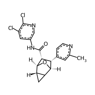 Cc1cc([C@H]2[C@@H](C(=O)Nc3cnc(Cl)c(Cl)c3)[C@H]3O[C@@H]2C2C[C@@H]23)ccn1